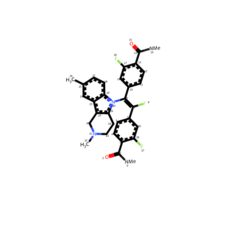 CNC(=O)c1ccc(/C(F)=C(/c2ccc(C(=O)NC)c(F)c2)n2c3c(c4cc(C)ccc42)CN(C)CC3)cc1F